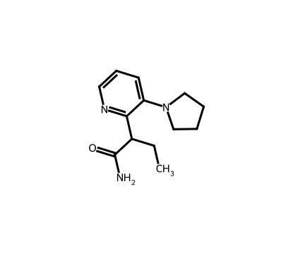 CCC(C(N)=O)c1ncccc1N1CCCC1